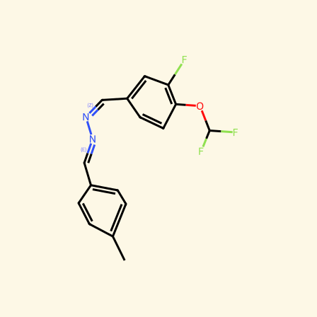 Cc1ccc(/C=N/N=C\c2ccc(OC(F)F)c(F)c2)cc1